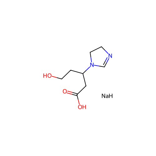 O=C(O)CC(CCO)N1C=NCC1.[NaH]